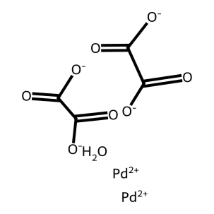 O.O=C([O-])C(=O)[O-].O=C([O-])C(=O)[O-].[Pd+2].[Pd+2]